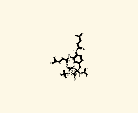 CC(C)CCC(=O)Oc1ccc(C[C@](NC(C)C)(OC(=O)OC(C)(C)C)C(=O)O)cc1OC(=O)CCC(C)C